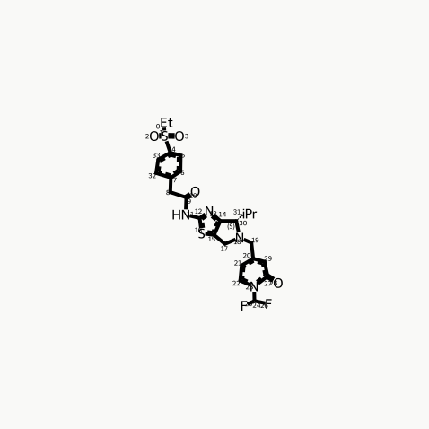 CCS(=O)(=O)c1ccc(CC(=O)Nc2nc3c(s2)CN(Cc2ccn(C(F)F)c(=O)c2)[C@H]3C(C)C)cc1